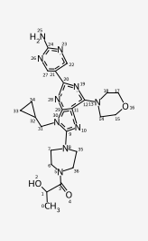 CC(O)C(=O)N1CCN(c2nc3c(N4CCOCC4)nc(-c4cnc(N)nc4)nc3n2CC2CC2)CC1